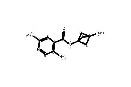 COC12CC(NC(=O)c3cc(SC)ncc3N)(C1)C2